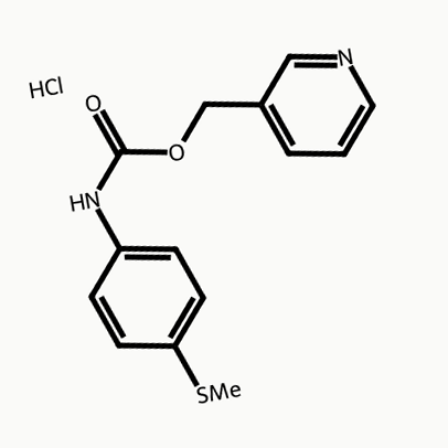 CSc1ccc(NC(=O)OCc2cccnc2)cc1.Cl